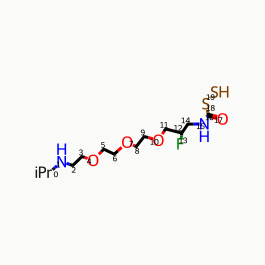 CC(C)NCCOCCOCCOCC(F)CNC(=O)SS